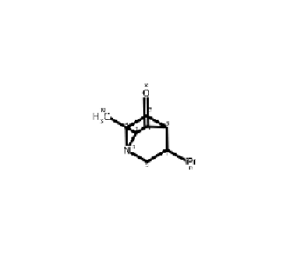 CC(C)C1CN2CCC1C(=O)C2C